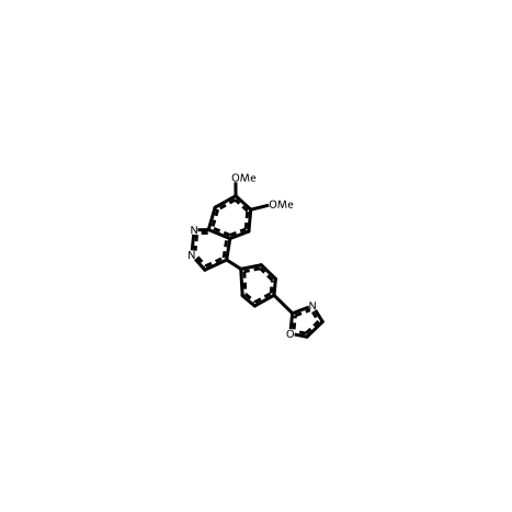 COc1cc2nncc(-c3ccc(-c4ncco4)cc3)c2cc1OC